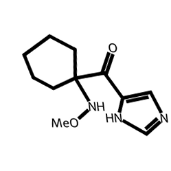 CONC1(C(=O)c2cnc[nH]2)CCCCC1